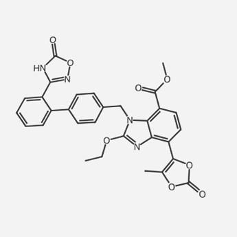 CCOc1nc2c(-c3oc(=O)oc3C)ccc(C(=O)OC)c2n1Cc1ccc(-c2ccccc2-c2noc(=O)[nH]2)cc1